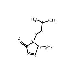 CC(C)CCN1C(=O)C=CC1C